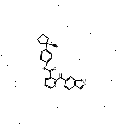 N#CC1(c2ccc(NC(=O)c3cccnc3Nc3ccc4cn[nH]c4c3)cc2)CCCC1